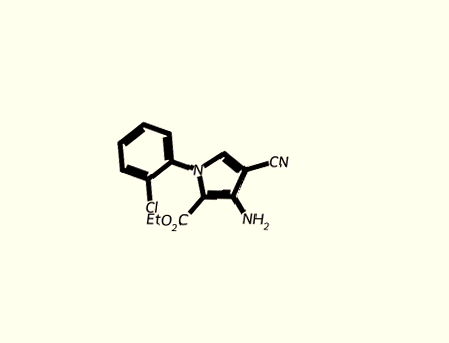 CCOC(=O)c1c(N)c(C#N)cn1-c1ccccc1Cl